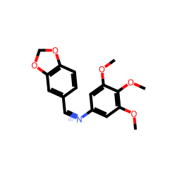 COc1cc(/N=C\c2ccc3c(c2)OCO3)cc(OC)c1OC